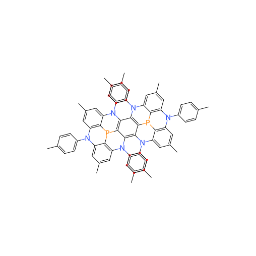 Cc1ccc(-n2c3cc(C)cc4c3p3c5c2cc(C)cc5n(-c2ccc(C)cc2)c2c5c6c(c(c23)n4-c2ccc(C)cc2)n(-c2ccc(C)cc2)c2cc(C)cc3c2p6c2c(cc(C)cc2n5-c2ccc(C)cc2)n3-c2ccc(C)cc2)cc1